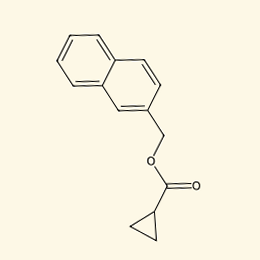 O=C(OCc1ccc2ccccc2c1)C1CC1